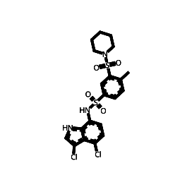 Cc1ccc(S(=O)(=O)Nc2ccc(Cl)c3c(Cl)c[nH]c23)cc1S(=O)(=O)N1CCCCC1